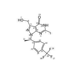 Cc1nc2c(c(CO)nn2[C@H](C)c2ccc(C(F)(F)F)cc2)c(=O)[nH]1